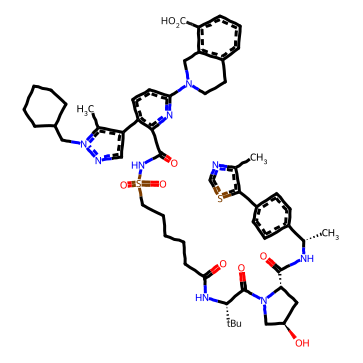 Cc1ncsc1-c1ccc([C@H](C)NC(=O)[C@@H]2C[C@@H](O)CN2C(=O)[C@@H](NC(=O)CCCCCS(=O)(=O)NC(=O)c2nc(N3CCc4cccc(C(=O)O)c4C3)ccc2-c2cnn(CC3CCCCC3)c2C)C(C)(C)C)cc1